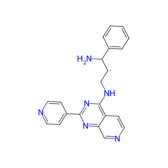 NC([CH]CNc1nc(-c2ccncc2)nc2cnccc12)c1ccccc1